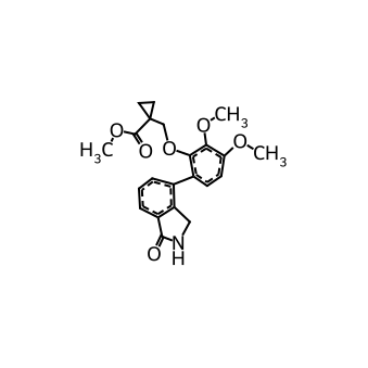 COC(=O)C1(COc2c(-c3cccc4c3CNC4=O)ccc(OC)c2OC)CC1